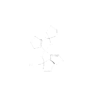 CC1([O][Zr]([O]C2(C)CC=CS2)([C]2=CC=CC2)[C]2=CC=CC2)CC=CS1